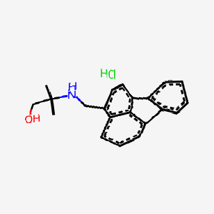 CC(C)(CO)NCc1ccc2c3c(cccc13)-c1ccccc1-2.Cl